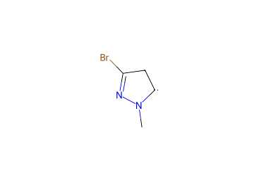 CN1[CH]CC(Br)=N1